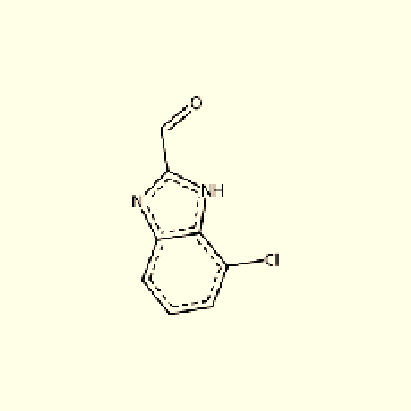 O=Cc1nc2cccc(Cl)c2[nH]1